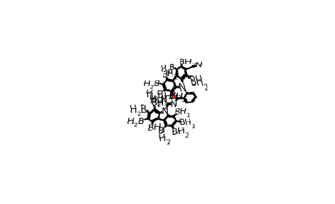 Bc1c(B)c(B)c2c(c1B)c1c(B)c(B)c(B)c(B)c1n2/C(N)=N/C(=N)c1ccccc1-n1c2c(B)c(B)c(B)c(B)c2c2c(B)c(B)c(C#N)c(B)c21